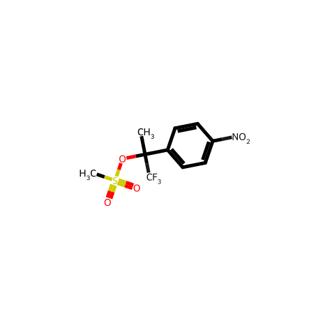 CC(OS(C)(=O)=O)(c1ccc([N+](=O)[O-])cc1)C(F)(F)F